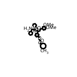 COc1ccc(CCC(OC(=O)[C@@H]2CCCCN2C(=O)C(N)C2CCCCC2)c2cccc(OCC(=O)OC3CCCCCC(C)CC3)c2)cc1OC